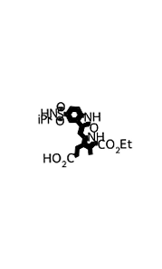 CCOC(=O)c1[nH]c(/C=C2\C(=O)Nc3ccc(S(=O)(=O)NC(C)C)cc32)c(CCC(=O)O)c1C